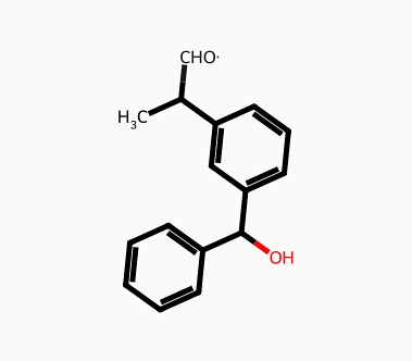 CC([C]=O)c1cccc(C(O)c2ccccc2)c1